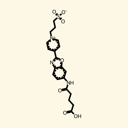 O=C(O)CCCC(=O)Nc1ccc2nc(-c3cc[n+](CCCS(=O)(=O)[O-])cc3)oc2c1